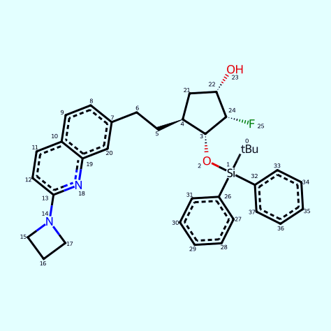 CC(C)(C)[Si](O[C@@H]1[C@@H](CCc2ccc3ccc(N4CCC4)nc3c2)C[C@H](O)[C@@H]1F)(c1ccccc1)c1ccccc1